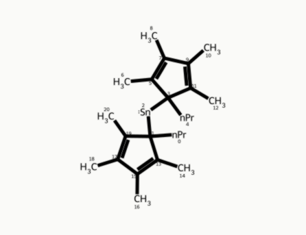 CCC[C]1([Sn][C]2(CCC)C(C)=C(C)C(C)=C2C)C(C)=C(C)C(C)=C1C